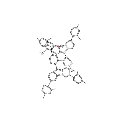 Cc1ccc(-c2ccc3c(c2)c2cc(-c4ccc(C)cc4C)ccc2n3-c2ccc(C#N)cc2-c2cc(-c3c(C(F)(F)F)cccc3C(F)(F)F)ccc2-n2c3ccc(-c4ccc(C)cc4C)cc3c3cc(-c4ccc(C)cc4C)ccc32)c(C)c1